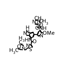 COc1ncc(-c2cc(NC(=O)c3csc(CN4C[C@@H](C)O[C@@H](C)C4)n3)c3cn[nH]c3c2)cc1NS(=O)(=O)c1cnc(C)n1C